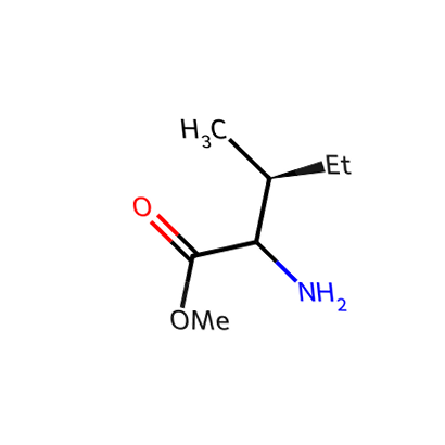 CC[C@H](C)C(N)C(=O)OC